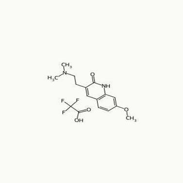 COc1ccc2cc(CCN(C)C)c(=O)[nH]c2c1.O=C(O)C(F)(F)F